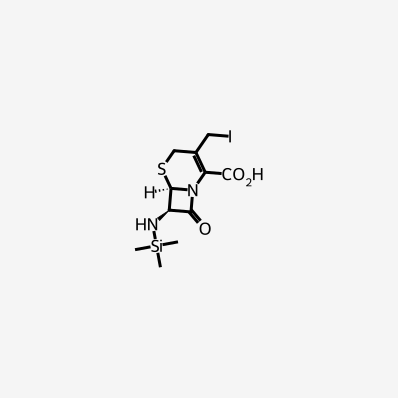 C[Si](C)(C)N[C@@H]1C(=O)N2C(C(=O)O)=C(CI)CS[C@H]12